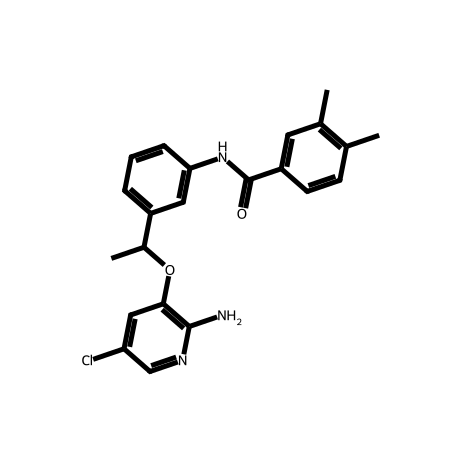 Cc1ccc(C(=O)Nc2cccc(C(C)Oc3cc(Cl)cnc3N)c2)cc1C